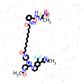 CC(=O)N1CCc2c(c(N3CCCc4cc(-c5cnn(C)c5)c(C(F)F)cc43)nn2C2CCN(C(=O)CCCCCCCCCCCC(=O)Nc3ccccc3C(=O)Nc3nc(C)c([N+](=O)[O-])s3)CC2)C1